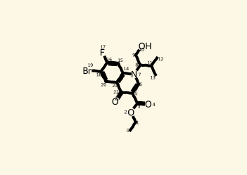 CCOC(=O)c1cn(C(CO)C(C)C)c2cc(F)c(Br)cc2c1=O